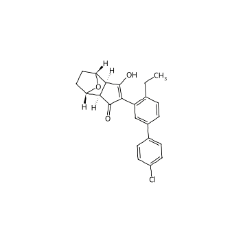 CCc1ccc(-c2ccc(Cl)cc2)cc1C1=C(O)[C@H]2[C@@H](C1=O)[C@@H]1CC[C@H]2O1